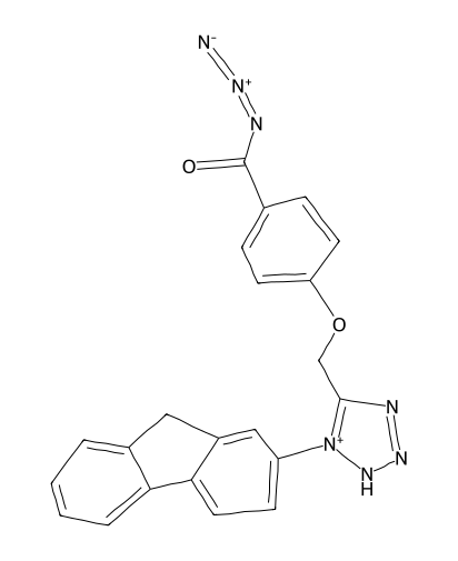 [N-]=[N+]=NC(=O)c1ccc(OCc2nn[nH][n+]2-c2ccc3c(c2)Cc2ccccc2-3)cc1